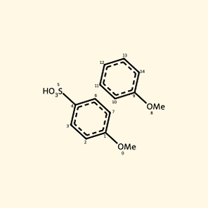 COc1ccc(S(=O)(=O)O)cc1.COc1ccccc1